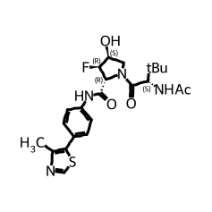 CC(=O)N[C@H](C(=O)N1C[C@H](O)[C@H](F)[C@H]1C(=O)Nc1ccc(-c2scnc2C)cc1)C(C)(C)C